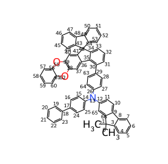 CC1(C)c2ccccc2-c2ccc(N(c3ccc(-c4ccccc4)cc3)c3ccc(-c4cccc5c4-c4cc6c(cc4C54c5ccccc5-c5ccccc54)Oc4ccccc4O6)cc3)cc21